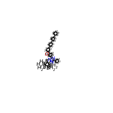 Bc1c(B)c(B)c(-c2nc(-c3ccccc3)nc(-c3ccc4c(c3)oc3ccc(-c5ccc(-c6ccc(-c7ccccc7)cc6)cc5)cc34)n2)c(B)c1B